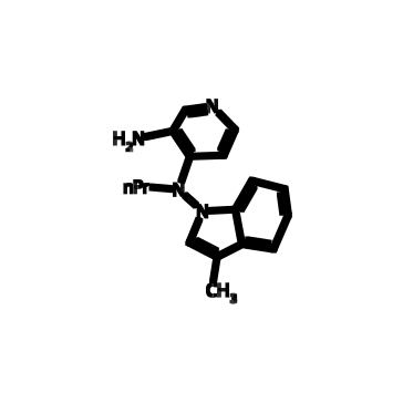 CCCN(c1ccncc1N)n1cc(C)c2ccccc21